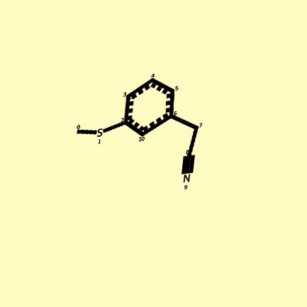 CSc1cccc(CC#N)c1